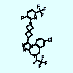 CC(N1Cc2cc(Cl)ccc2-n2c(nnc2C2CC3(C2)CN(c2nc(C(F)(F)F)ccc2F)C3)C1)C(F)(F)F